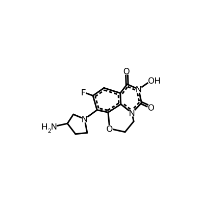 NC1CCN(c2c(F)cc3c(=O)n(O)c(=O)n4c3c2OCC4)C1